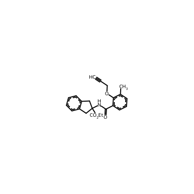 C#CCOc1c(C)cccc1C(=O)NC1(C(=O)OCC)Cc2ccccc2C1